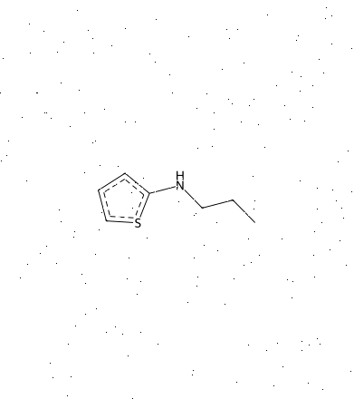 CCCNc1cccs1